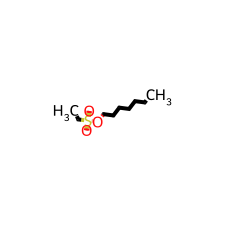 CCCCCCCOS(=O)(=O)CC